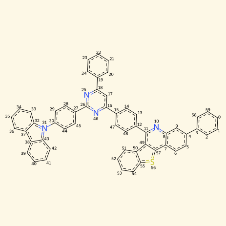 c1ccc(-c2ccc3c(c2)nc(-c2ccc(-c4cc(-c5ccccc5)nc(-c5ccc(-n6c7ccccc7c7ccccc76)cc5)n4)cc2)c2c4ccccc4sc32)cc1